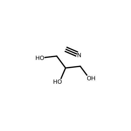 C#N.OCC(O)CO